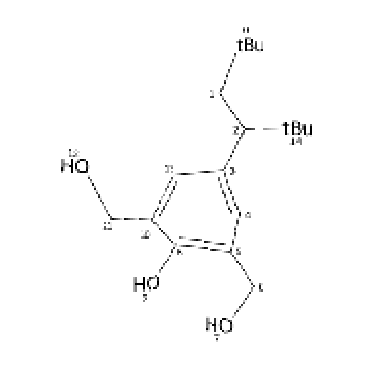 CC(C)(C)CC(c1cc(CO)c(O)c(CO)c1)C(C)(C)C